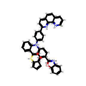 c1cc2ccc(-c3ccccc3N(c3ccc(-c4ccc5ccc6cccnc6c5n4)cc3)c3ccc(-c4nc5ccccc5o4)cc3)sc-2c1